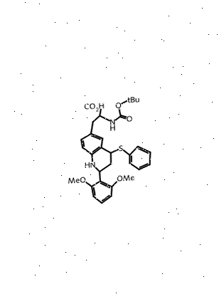 COc1cccc(OC)c1C1CC(Sc2ccccc2)c2cc(CC(NC(=O)OC(C)(C)C)C(=O)O)ccc2N1